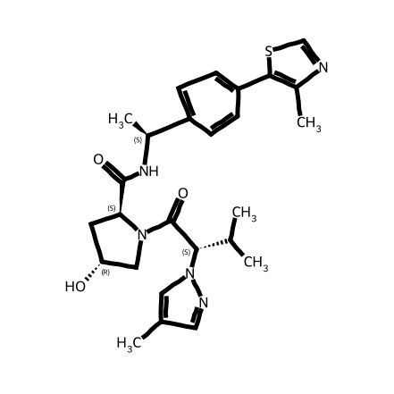 Cc1cnn([C@H](C(=O)N2C[C@H](O)C[C@H]2C(=O)N[C@@H](C)c2ccc(-c3scnc3C)cc2)C(C)C)c1